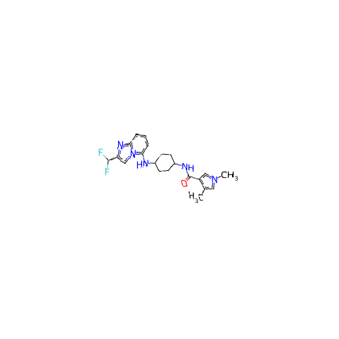 Cc1cn(C)cc1C(=O)NC1CCC(Nc2cccc3nc(C(F)F)cn23)CC1